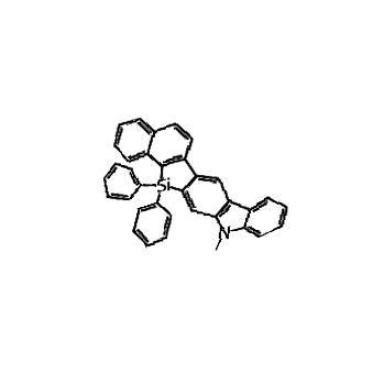 Cn1c2ccccc2c2cc3c(cc21)[Si](c1ccccc1)(c1ccccc1)c1c-3ccc2ccccc12